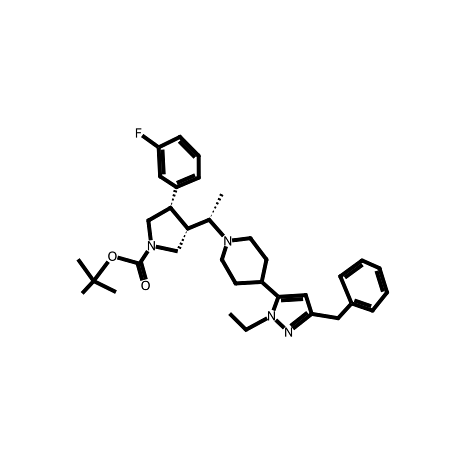 CCn1nc(Cc2ccccc2)cc1C1CCN([C@@H](C)[C@@H]2CN(C(=O)OC(C)(C)C)C[C@@H]2c2cccc(F)c2)CC1